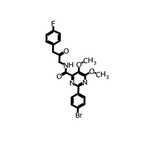 COc1nc(-c2ccc(Br)cc2)nc(C(=O)NCC(=O)Cc2ccc(F)cc2)c1OC